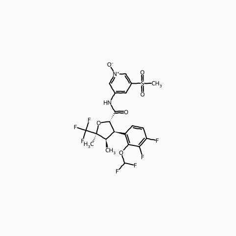 C[C@@H]1[C@H](c2ccc(F)c(F)c2OC(F)F)[C@@H](C(=O)Nc2cc(S(C)(=O)=O)c[n+]([O-])c2)O[C@]1(C)C(F)(F)F